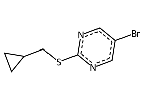 Brc1cnc(SCC2CC2)nc1